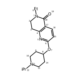 CCN1CCc2nc(OC3CCN(C(C)C)CC3)ccc2C1=O